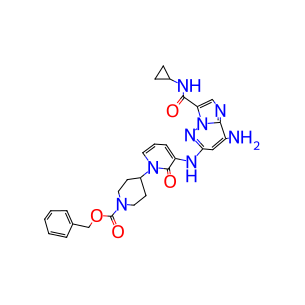 Nc1cc(Nc2cccn(C3CCN(C(=O)OCc4ccccc4)CC3)c2=O)nn2c(C(=O)NC3CC3)cnc12